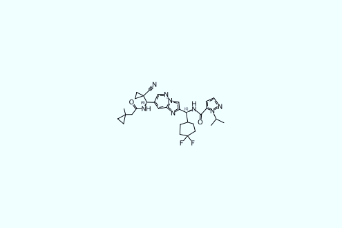 CC(C)n1nccc1C(=O)N[C@H](c1cn2ncc([C@@H](NC(=O)CC3(C)CC3)C3(C#N)CC3)cc2n1)C1CCC(F)(F)CC1